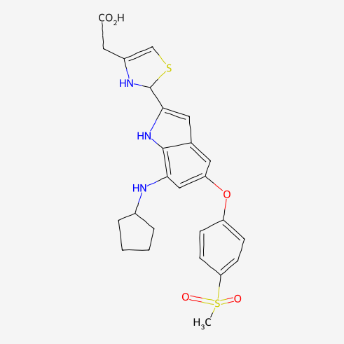 CS(=O)(=O)c1ccc(Oc2cc(NC3CCCC3)c3[nH]c(C4NC(CC(=O)O)=CS4)cc3c2)cc1